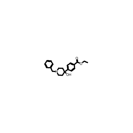 CCOC(=O)c1ccc(C2(O)CCN(Cc3ccccc3)CC2)cc1